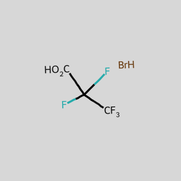 Br.O=C(O)C(F)(F)C(F)(F)F